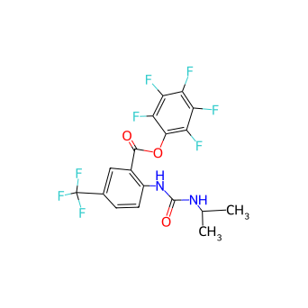 CC(C)NC(=O)Nc1ccc(C(F)(F)F)cc1C(=O)Oc1c(F)c(F)c(F)c(F)c1F